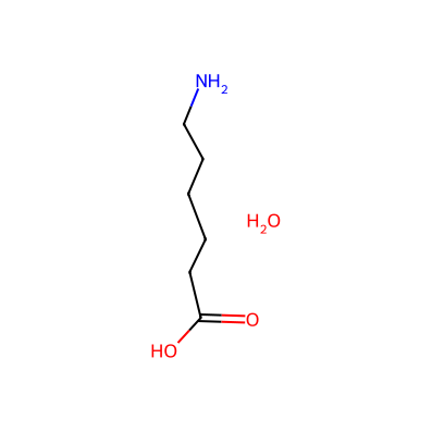 NCCCCCC(=O)O.O